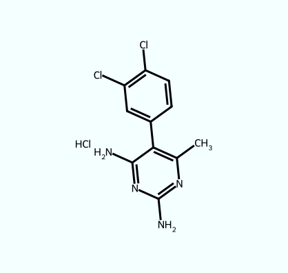 Cc1nc(N)nc(N)c1-c1ccc(Cl)c(Cl)c1.Cl